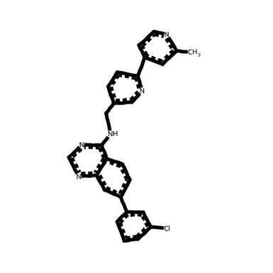 Cc1cc(-c2ccc(CNc3ncnc4cc(-c5cccc(Cl)c5)ccc34)cn2)ccn1